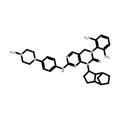 Cc1cccc(C)c1N1Cc2cnc(Nc3ccc(N4CCN(C)CC4)cc3)nc2N(C2CCC3C4CCC(C4)C32)C1=O